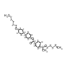 CCCCCCOc1ccc(-c2ccc(OC(=O)c3ccc(C(C)OCCCCC)cc3)cc2)cc1